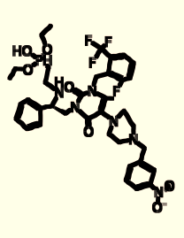 CCO[PH](O)(CCN[C@@H](Cn1c(=O)c(N2CCN(Cc3cccc([N+](=O)[O-])c3)CC2)c(C)n(Cc2c(F)cccc2C(F)(F)F)c1=O)c1ccccc1)OCC